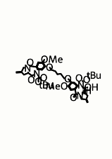 C=C1CC2C(=O)N(C(=O)OC(C)(C)C)c3cc(OCCCCCOc4cc5c(cc4OC)C(=O)N4CC(=C)C[C@H]4[C@H](O)N5C(=O)OC(C)(C)C)c(OC)cc3C(=O)N2C1